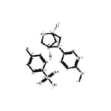 COc1ccc(N2C[C@H]3C[C@@H]2CN3)cn1.Cc1ccc(S(=O)(=O)O)cc1